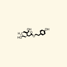 C/C=C(/CO)[C@@H](CCO)CC(=O)OCCc1ccc(O)cc1